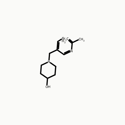 C=C(C)/N=C\C(=C/C)CN1CCC(O)CC1